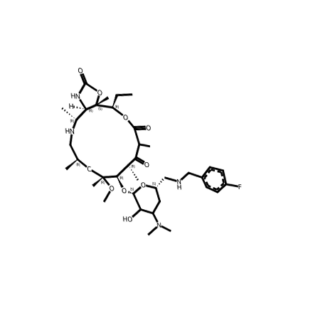 CC[C@H]1OC(=O)C(C)C(=O)[C@H](C)[C@@H](O[C@@H]2O[C@H](CNCc3ccc(F)cc3)CC(N(C)C)C2O)[C@](C)(OC)C[C@@H](C)CN[C@H](C)[C@H]2NC(=O)O[C@@]21C